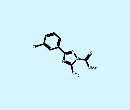 CNC(=S)n1nc(-c2cccc(Cl)c2)nc1N